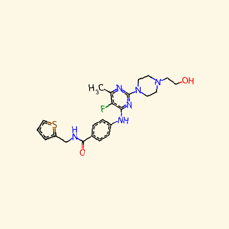 Cc1nc(N2CCN(CCO)CC2)nc(Nc2ccc(C(=O)NCc3cccs3)cc2)c1F